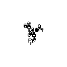 COc1ccc(Cn2c(=O)c3cc(OC(CF)CF)ccc3n(C3CN(C(=O)C4CC4)C3)c2=O)cc1OC